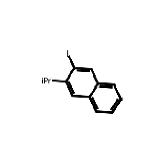 CC(C)c1cc2ccccc2cc1I